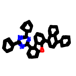 c1ccc(-c2nc(-c3ccccc3)nc(-c3cccc4oc5c(-c6ccc(-c7ccccc7)c7ccccc67)cccc5c34)n2)cc1